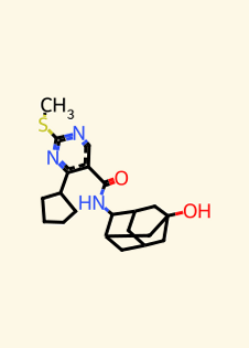 CSc1ncc(C(=O)NC2C3CC4CC2CC(O)(C4)C3)c(C2CCCC2)n1